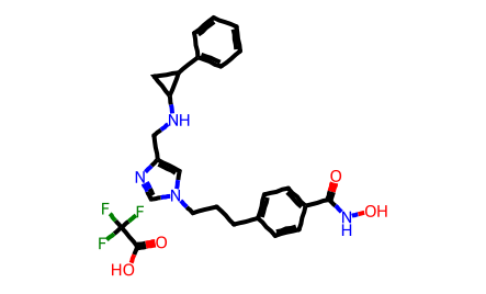 O=C(NO)c1ccc(CCCn2cnc(CNC3CC3c3ccccc3)c2)cc1.O=C(O)C(F)(F)F